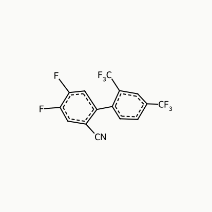 N#Cc1cc(F)c(F)cc1-c1ccc(C(F)(F)F)cc1C(F)(F)F